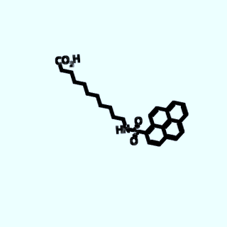 O=C(O)CCCCCCCCCCNS(=O)(=O)c1ccc2ccc3cccc4ccc1c2c34